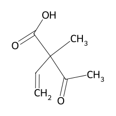 C=CC(C)(C(C)=O)C(=O)O